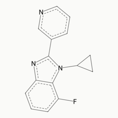 Fc1cccc2nc(-c3cccnc3)n(C3CC3)c12